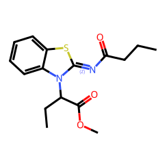 CCCC(=O)/N=c1\sc2ccccc2n1C(CC)C(=O)OC